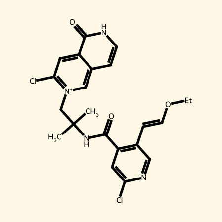 CCO/C=C/c1cnc(Cl)cc1C(=O)NC(C)(C)C[n+]1cc2cc[nH]c(=O)c2cc1Cl